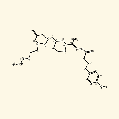 C=C1C[C@H](C[C@@H]2CCO[C@H](/C(N)=C/OC(=C)COCc3ccc(OC)cc3)O2)O[C@@H](CCOBPS)C1